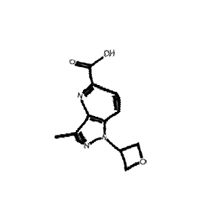 Cc1nn(C2COC2)c2ccc(C(=O)O)nc12